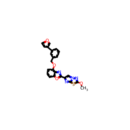 COc1nn2cc(-c3nc4c(OCc5cccc(-c6ccoc6)c5)cccc4o3)nc2s1